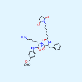 NCCCC[C@H](NC(=O)[C@H](Cc1ccccc1)NC(=O)CCCCCN1C(=O)CCC1=O)C(=O)Nc1ccc(COC=O)cc1